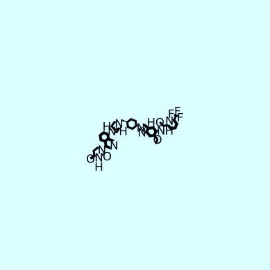 COc1cc2nn([C@H]3CC[C@H](CN4C[C@H]5C[C@@H]4CN5c4cccc5c(N6CCC(=O)NC6=O)cncc45)CC3)cc2cc1NC(O)c1cccc(C(F)(F)F)n1